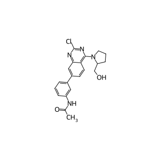 CC(=O)Nc1cccc(-c2ccc3c(N4CCCC4CO)nc(Cl)nc3c2)c1